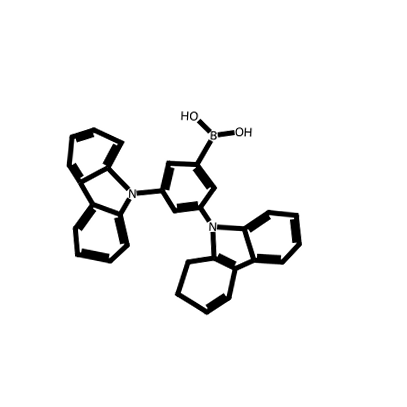 OB(O)c1cc(-n2c3c(c4ccccc42)C=CCC3)cc(-n2c3ccccc3c3ccccc32)c1